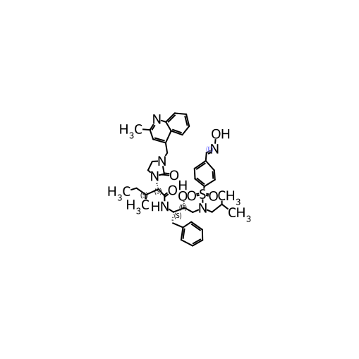 CC[C@H](C)[C@@H](C(=O)N[C@@H](Cc1ccccc1)[C@H](O)CN(CC(C)C)S(=O)(=O)c1ccc(/C=N/O)cc1)N1CCN(Cc2cc(C)nc3ccccc23)C1=O